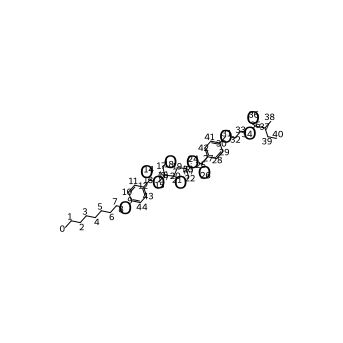 CCCCCCCCOc1ccc(C(=O)O[C@H]2COC3C2OC[C@H]3OC(=O)c2ccc(OCCOC(=O)C(C)CC)cc2)cc1